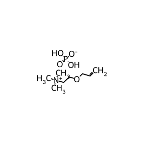 C=CCOCC[N+](C)(C)C.O=P([O-])(O)O